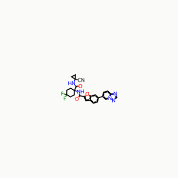 N#CC1(NC(=O)C2(NC(=O)c3cc4ccc(-c5ccc6ncnn6c5)cc4o3)CCC(F)(F)CC2)CC1